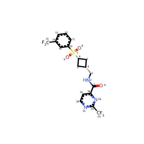 O=C(NC[C@H]1C[C@@H](S(=O)(=O)c2cccc(C(F)(F)F)c2)C1)c1ccnc(C(F)(F)F)n1